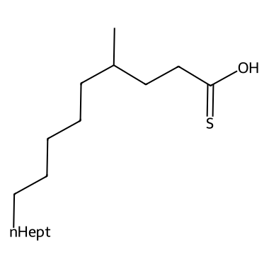 CCCCCCCCCCCCC(C)CCC(O)=S